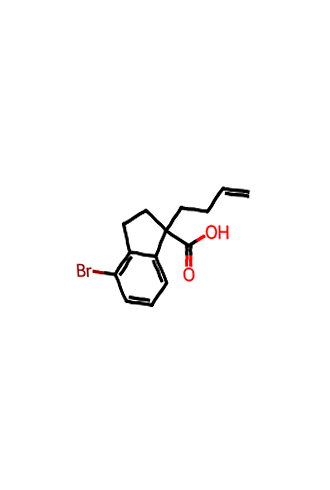 C=CCCC1(C(=O)O)CCc2c(Br)cccc21